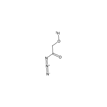 [2H]OCC(=O)N=[N+]=[N-]